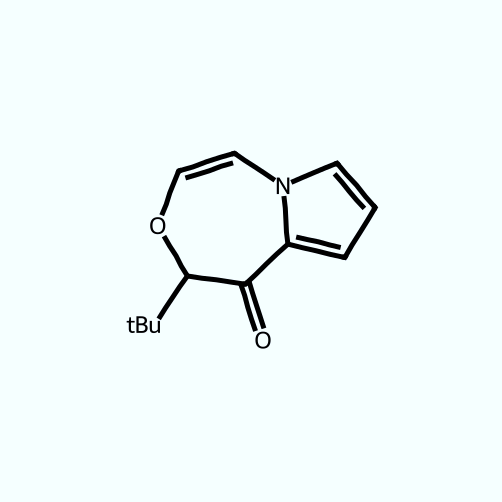 CC(C)(C)C1OC=Cn2cccc2C1=O